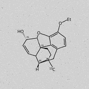 [13CH3][13CH2]Oc1ccc2c3c1OC1[C@@H](O)C=CC4[C@@H](C2)N([13CH3])CC[C@@]341